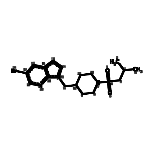 CC(C)CS(=O)(=O)N1CCC(Cn2ccc3cc(Br)cnc32)CC1